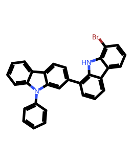 Brc1cccc2c1[nH]c1c(-c3ccc4c5ccccc5n(-c5ccccc5)c4c3)cccc12